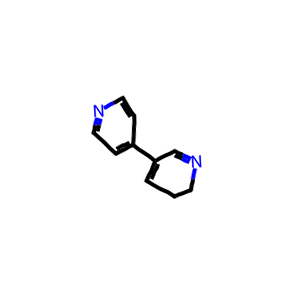 C1=NCCC=C1c1ccncc1